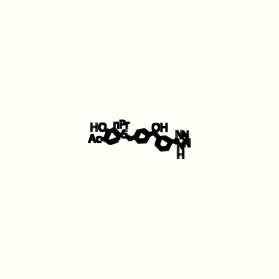 CCCc1c(SCc2ccc([C@H](O)c3cccc(-c4nnn[nH]4)c3)cc2)ccc(C(C)=O)c1O